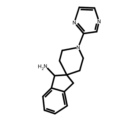 NC1c2ccccc2CC12CCN(c1cnccn1)CC2